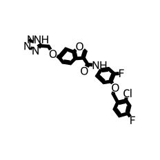 O=C(Nc1ccc(OCc2ccc(F)cc2Cl)c(F)c1)c1coc2cc(OCc3nnn[nH]3)ccc12